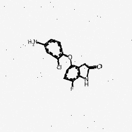 Nc1ccc(Oc2ccc(F)c3c2CC(=O)N3)c(Cl)c1